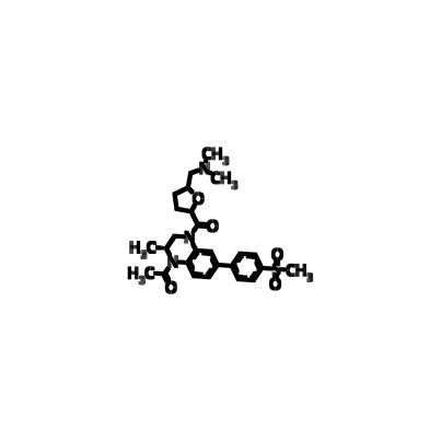 CC(=O)N1c2ccc(-c3ccc(S(C)(=O)=O)cc3)cc2N(C(=O)C2CCC(CN(C)C)O2)C[C@@H]1C